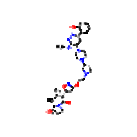 CNc1nnc(-c2ccccc2O)cc1N1CCN(C2CCN(CCOc3cc([C@H](C(=O)N4CC[C@@H](O)C4)C(C)C)on3)C2)CC1